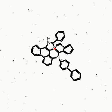 c1ccc(-c2ccc(N(c3cccc4ccccc34)c3cccc4c3c3c(c5ccccc54)NC(c4ccccc4)S3)cc2)cc1